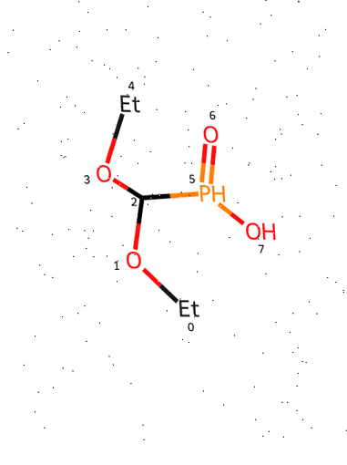 CCOC(OCC)[PH](=O)O